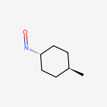 C[C@H]1CC[C@H](N=O)CC1